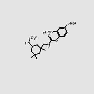 CCCCCCCc1ccc(OC(=O)NCC2(C)CC(NC(=O)O)CC(C)(C)C2)c(CCCCCCC)c1